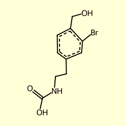 O=C(O)NCCc1ccc(CO)c(Br)c1